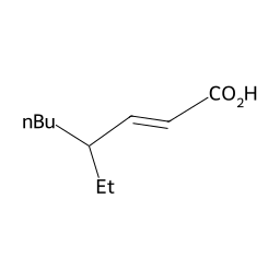 CCCCC(C=CC(=O)O)CC